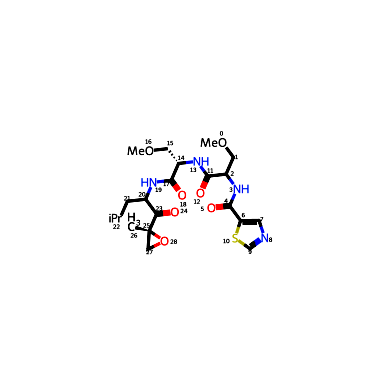 COCC(NC(=O)c1cncs1)C(=O)N[C@@H](COC)C(=O)NC(CC(C)C)C(=O)[C@@]1(C)CO1